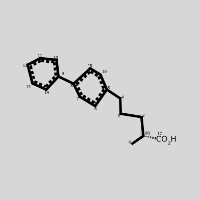 C[C@H](CCCc1ccc(-c2ccccc2)cc1)C(=O)O